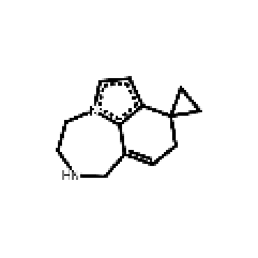 C1=C2CNCCn3ccc(c32)C2(C1)CC2